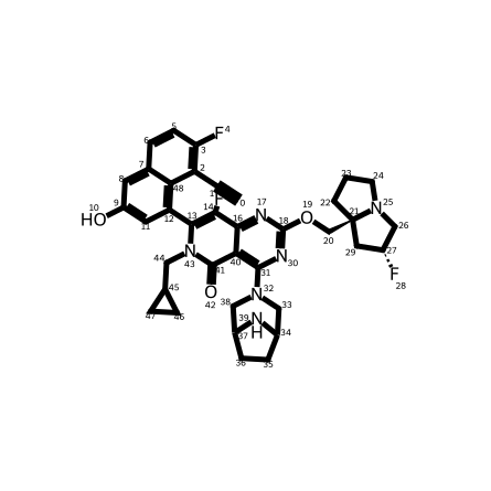 C#Cc1c(F)ccc2cc(O)cc(-c3c(F)c4nc(OC[C@@]56CCCN5C[C@H](F)C6)nc(N5CC6CCC(C5)N6)c4c(=O)n3CC3CC3)c12